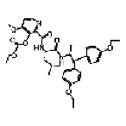 CCOC(=O)Oc1c(OC)ccnc1C(=O)N[C@@H](CC(C)C)C(=O)N[C@@H](C)C(c1ccc(OCC)cc1)c1ccc(OCC)cc1